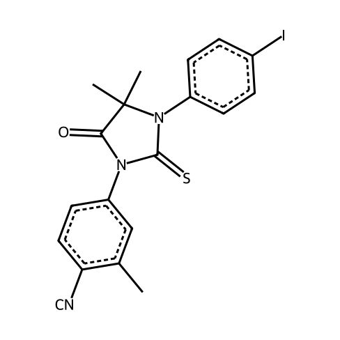 [C-]#[N+]c1ccc(N2C(=O)C(C)(C)N(c3ccc(I)cc3)C2=S)cc1C